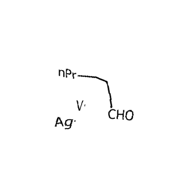 CCCCC=O.[Ag].[V]